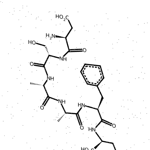 CC(C)C[C@H](NC(=O)[C@H](Cc1ccccc1)NC(=O)[C@H](C)NC(=O)[C@H](C)NC(=O)[C@H](CO)NC(=O)[C@@H](N)CC(=O)O)C(=O)O